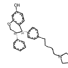 Oc1ccc2c(c1)OC[C@@H](c1ccccc1)[C@H]2c1ccc(CCCCN2CCCC2)cc1